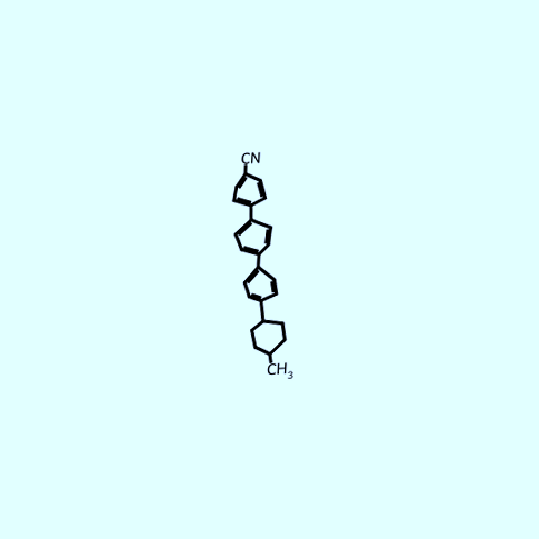 CC1CCC(c2ccc(-c3ccc(-c4ccc(C#N)cc4)cc3)cc2)CC1